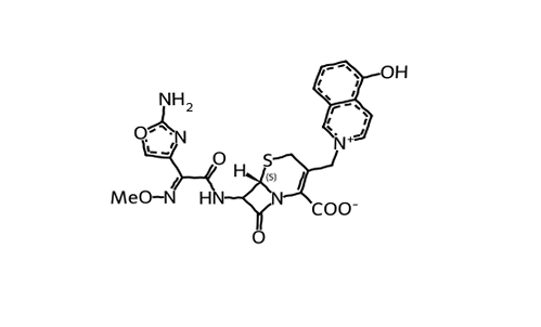 CON=C(C(=O)NC1C(=O)N2C(C(=O)[O-])=C(C[n+]3ccc4c(O)cccc4c3)CS[C@@H]12)c1coc(N)n1